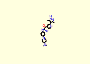 Cc1n[nH]c(C)c1-c1cc(C(=O)c2nc3ccc(N4CCC(N(C)C)CC4)cc3[nH]2)ccn1